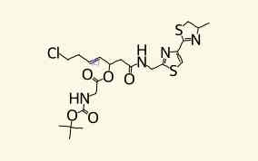 CC1CSC(c2csc(CNC(=O)CC(/C=C/CCCl)OC(=O)CNC(=O)OC(C)(C)C)n2)=N1